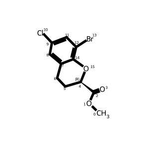 COC(=O)[C@H]1CCc2cc(Cl)cc(Br)c2O1